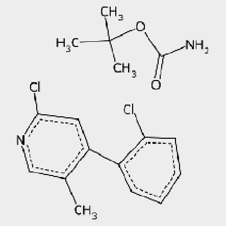 CC(C)(C)OC(N)=O.Cc1cnc(Cl)cc1-c1ccccc1Cl